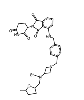 CCN(CC1CCC(C)O1)C1CN(Cc2ccc(CNc3cccc4c3C(=O)N(C3CCC(=O)NC3=O)C4=O)cc2)C1